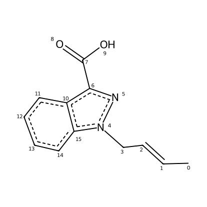 C/C=C/Cn1nc(C(=O)O)c2ccccc21